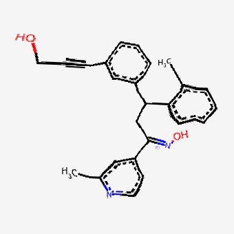 Cc1cc(/C(CC(c2cccc(C#CCO)c2)c2ccccc2C)=N/O)ccn1